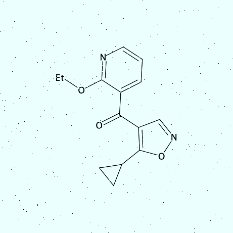 CCOc1ncccc1C(=O)c1cnoc1C1CC1